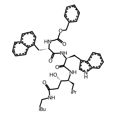 CCC(C)CNC(=O)C[C@H](O)[C@H](CC(C)C)NC(=O)[C@H](Cc1c[nH]c2ccccc12)NC(=O)[C@H](Cc1cccc2ccccc12)NC(=O)OCc1ccccc1